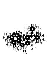 Bc1c(-c2nc(-c3c(B)c(B)c(B)c(B)c3B)nc(-c3c(B)c(B)c(B)c(B)c3B)n2)cc(-c2c(B)c(B)c(B)c3c2oc2c(-c4c(B)c(B)c5c(c4B)-c4c(B)c(B)c(B)c(B)c4-c4c(B)c(B)c(B)c(B)c4-c4c(B)c(B)c(B)c(B)c4-5)c(B)c(B)c(B)c23)c(B)c1B